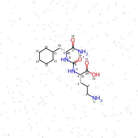 NCCC[C@H](NC(=O)N[C@H](CC1CCCCC1)C(N)=O)C(=O)O